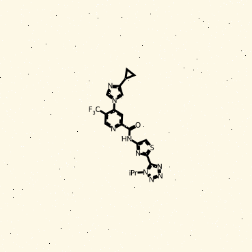 CC(C)n1nnnc1-c1nc(NC(=O)c2cc(-n3cnc(C4CC4)c3)c(C(F)(F)F)cn2)cs1